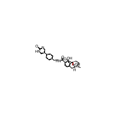 CN1CC[C@]23CC(O)CC[C@@]2(O)[C@H]1Cc1ccc(C(=O)NCCc2ccc(-c4cnc(=O)[nH]c4)cc2)c(O)c13